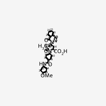 COc1ccc(NC(=O)c2ccc(N(C(CCn3nnc4ccccc4c3=O)C(=O)O)S(C)(=O)=O)cc2)cc1